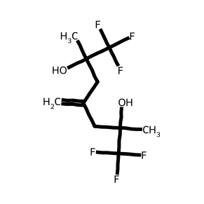 C=C(CC(C)(O)C(F)(F)F)CC(C)(O)C(F)(F)F